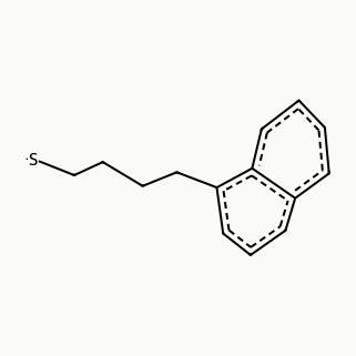 [S]CCCCc1cccc2ccccc12